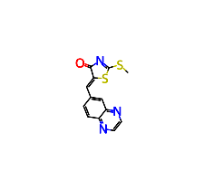 CSC1=NC(=O)C(=Cc2ccc3nccnc3c2)S1